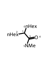 CCCCCCC(CCCCCC)C(=O)NC